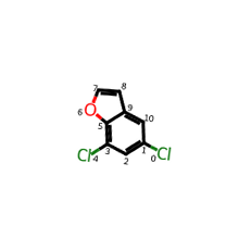 Clc1cc(Cl)c2occc2c1